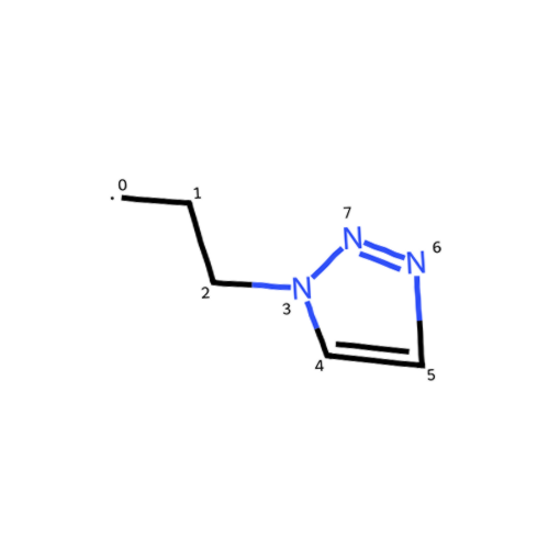 [CH2]CCn1ccnn1